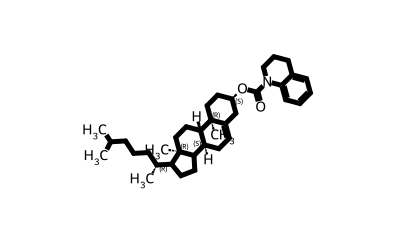 CC(C)CCC[C@@H](C)C1CCC2[C@@H]3CC=C4C[C@@H](OC(=O)N5CCCc6ccccc65)CC[C@]4(C)[C@H]3CC[C@]12C